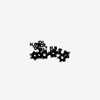 CC(C)(C)[S@@+]([O-])NC1c2ccccc2CC12CCN(c1cnc(C(=O)N3CCCn4nccc43)c(N)n1)CC2